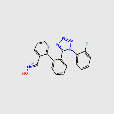 O/N=C/c1ccccc1-c1ccccc1-c1nnnn1-c1ccccc1F